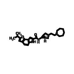 CC(C)c1cc2ccc3[nH]c(C(=O)NC4C5CN(CCN6CCCCCC6)C[C@H]54)cc3c2o1